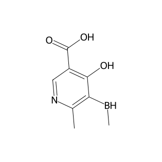 CBc1c(C)ncc(C(=O)O)c1O